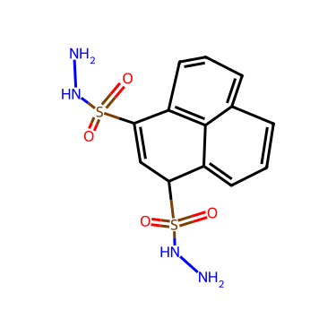 NNS(=O)(=O)C1=CC(S(=O)(=O)NN)c2cccc3cccc1c23